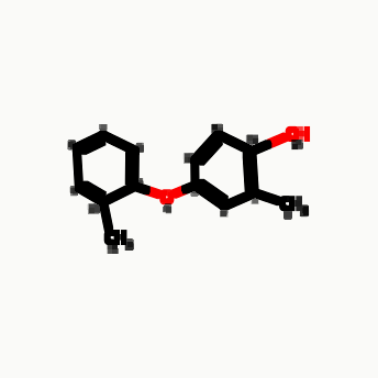 Cc1cc(Oc2ccccc2C)ccc1O